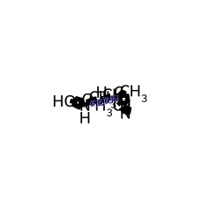 CC1=C(/C=C/C(C)=C/C=C/C(C)=C/C(=O)Nc2ccc(O)cc2)C(C)(C)CC[C@@H]1n1ccnc1